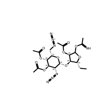 CC[C@H]1OC(OC(C)=N)[C@H](OC(C)=O)[C@@H]1O[C@H]1O[C@@H](CN=[N+]=[N-])[C@@H](OC(C)=O)[C@H](OC(C)=O)[C@H]1N=[N+]=[N-]